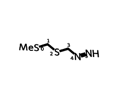 CSCSCN=N